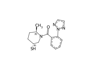 C[C@@H]1CC[C@@H](S)CN1C(=O)c1ccccc1-n1nccn1